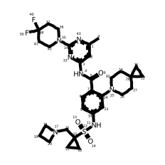 Cc1cc(NC(=O)c2ccc(NS(=O)(=O)C3(CN4CCC4)CC3)cc2N2CCC3(CC2)CC3)nc(N2CCC(F)(F)CC2)n1